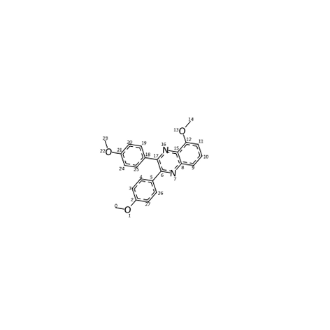 COc1ccc(-c2nc3cccc(OC)c3nc2-c2ccc(OC)cc2)cc1